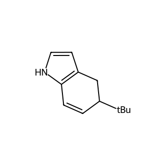 CC(C)(C)C1C=Cc2[nH]ccc2C1